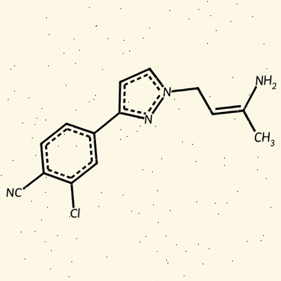 CC(N)=CCn1ccc(-c2ccc(C#N)c(Cl)c2)n1